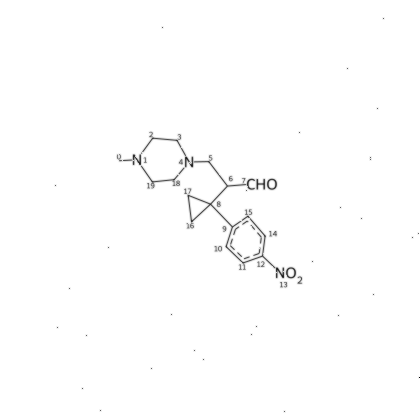 CN1CCN(CC(C=O)C2(c3ccc([N+](=O)[O-])cc3)CC2)CC1